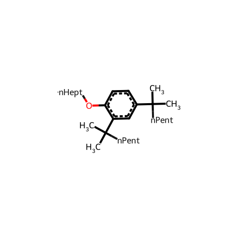 CCCCCC[CH]Oc1ccc(C(C)(C)CCCCC)cc1C(C)(C)CCCCC